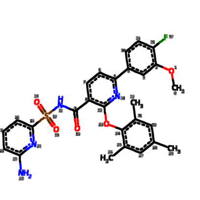 COc1cc(-c2ccc(C(=O)NS(=O)(=O)c3cccc(N)n3)c(Oc3c(C)cc(C)cc3C)n2)ccc1F